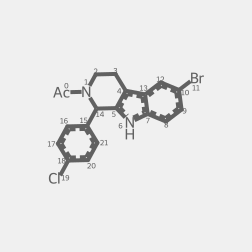 CC(=O)N1CCc2c([nH]c3ccc(Br)cc23)C1c1ccc(Cl)cc1